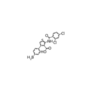 Bc1ccc(-c2csc(NC(=O)c3ccc(Cl)cc3Cl)c2C(=O)O)cc1